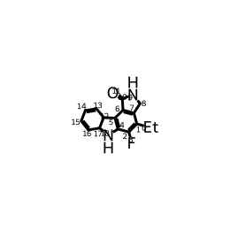 CCc1c(F)c2c(c3c1CNC3=O)C1C=CC=CC1N2